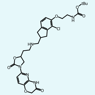 CC(C)(C)OC(=O)NCCOc1ccc2c(c1Cl)CC(CNCCC1CN(c3ccc4c(n3)NC(=O)CO4)C(=O)O1)C2